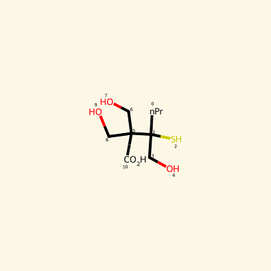 CCCC(S)(CO)C(CO)(CO)C(=O)O